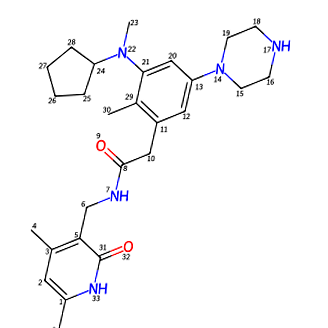 Cc1cc(C)c(CNC(=O)Cc2cc(N3CCNCC3)cc(N(C)C3CCCC3)c2C)c(=O)[nH]1